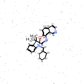 CC1(C)c2ccccc2N(CC2CCCCC2)C12C=Nc1c(ccc3ccncc13)O2